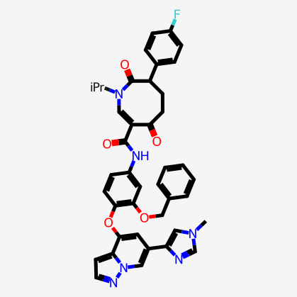 CC(C)N1/C=C(/C(=O)Nc2ccc(Oc3cc(-c4cn(C)cn4)cn4nccc34)c(OCc3ccccc3)c2)C(=O)CCC(c2ccc(F)cc2)C1=O